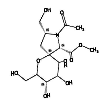 COC(=O)[C@H]1N(C(C)=O)[C@@H](CO)C[C@]12OC(CO)[C@@H](O)C(O)C2O